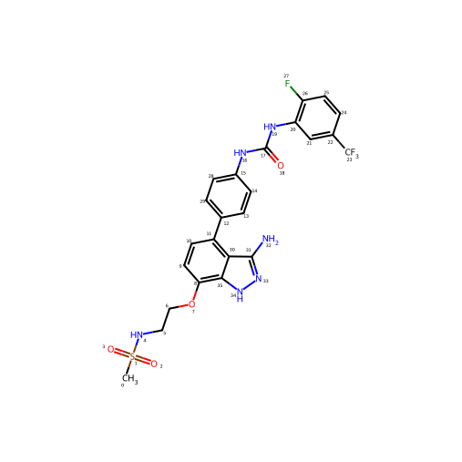 CS(=O)(=O)NCCOc1ccc(-c2ccc(NC(=O)Nc3cc(C(F)(F)F)ccc3F)cc2)c2c(N)n[nH]c12